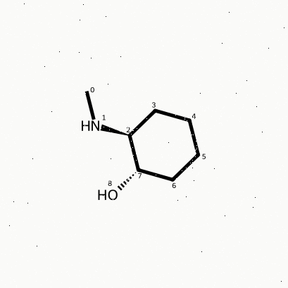 CN[C@H]1CCCC[C@@H]1O